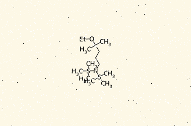 CCOC(C)(C)CCCN(S(C)(C)C)S(C)(C)C